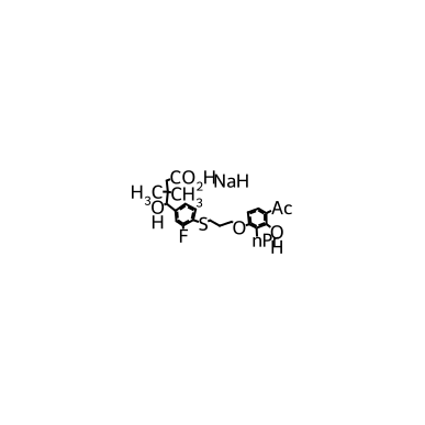 CCCc1c(OCCCSc2ccc(C(O)C(C)(C)CC(=O)O)cc2F)ccc(C(C)=O)c1O.[NaH]